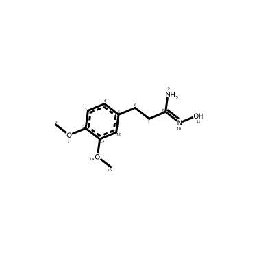 COc1ccc(CC/C(N)=N/O)cc1OC